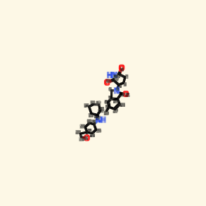 O=C1CCC(N2Cc3cc(C[C@H]4CCCC[C@@H]4NC4CCC5(CCO5)CC4)ccc3C2=O)C(=O)N1